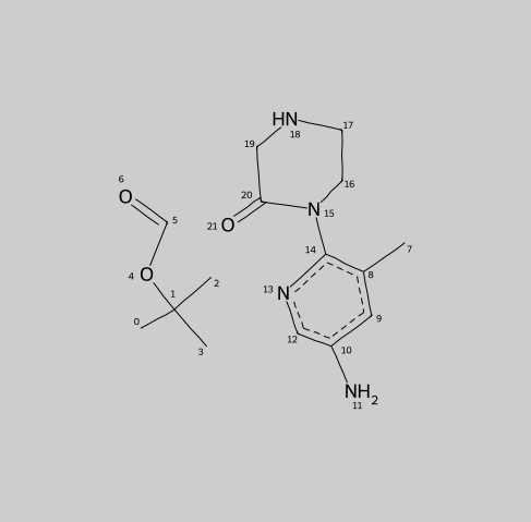 CC(C)(C)OC=O.Cc1cc(N)cnc1N1CCNCC1=O